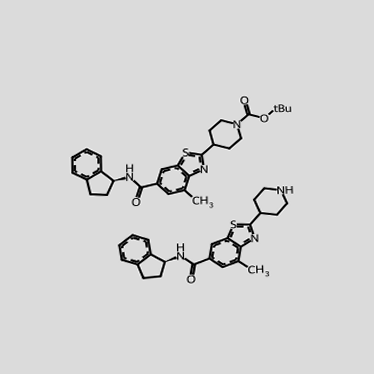 Cc1cc(C(=O)N[C@H]2CCc3ccccc32)cc2sc(C3CCN(C(=O)OC(C)(C)C)CC3)nc12.Cc1cc(C(=O)N[C@H]2CCc3ccccc32)cc2sc(C3CCNCC3)nc12